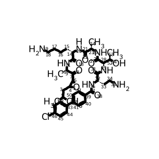 CC(C)CC1OC1C(=O)[C@H](C)NC(=O)[C@H](CCCCN)NC(=O)[C@H](C)NC(=O)[C@@H](NC(=O)[C@H](CCN)NC(=O)c1ccc(-c2ccc(Cl)cc2)cc1)[C@@H](C)O